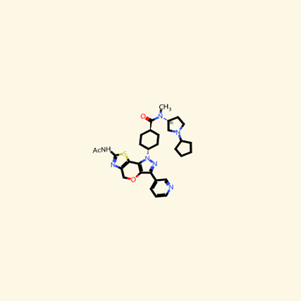 CC(=O)Nc1nc2c(s1)-c1c(c(-c3cccnc3)nn1[C@H]1CC[C@H](C(=O)N(C)[C@@H]3CCN(C4CCCC4)C3)CC1)OC2